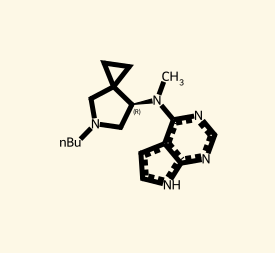 CCCCN1C[C@H](N(C)c2ncnc3[nH]ccc23)C2(CC2)C1